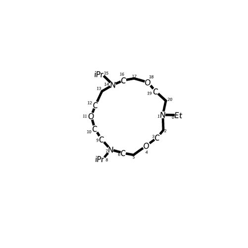 CCN1CCOCCN(C(C)C)CCOCCN(C(C)C)CCOCC1